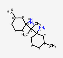 CC1CCCC(N)(C(C)(C)C2(N)CCCC(C)C2)C1